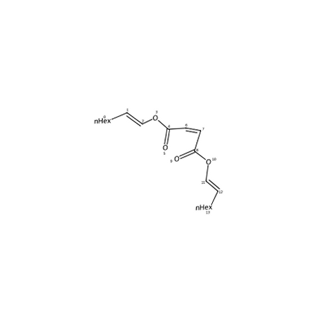 CCCCCCC=COC(=O)/C=C\C(=O)OC=CCCCCCC